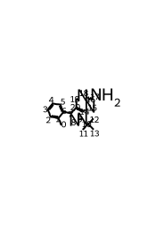 Cc1ccccc1-c1nn(C(C)(C)C)c2nc(N)ncc12